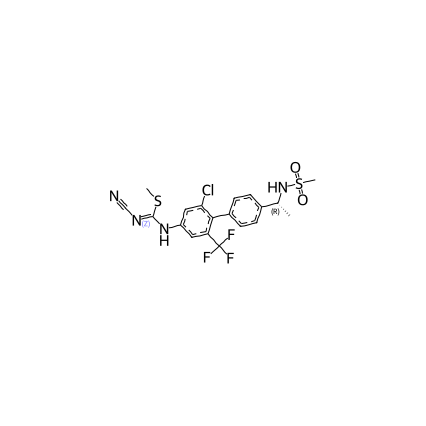 CS/C(=N\C#N)Nc1cc(Cl)c(-c2ccc([C@@H](C)NS(C)(=O)=O)cc2)c(C(F)(F)F)c1